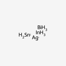 [Ag].[BiH3].[InH3].[SnH2]